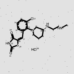 CNCCN[C@@H]1CCCN(c2c(Cl)cccc2C=C2SC(=O)NC2=O)C1.Cl